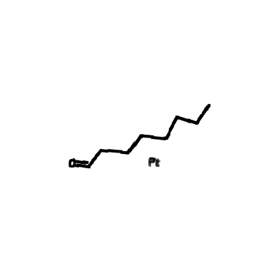 CCCCCCCC=O.[Pt]